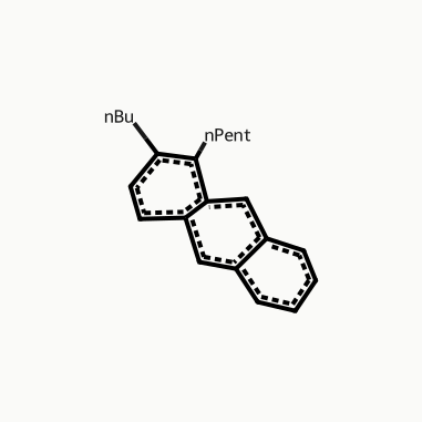 CCCCCc1c(CCCC)ccc2cc3ccccc3cc12